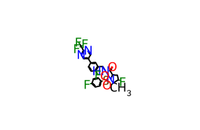 CC1C(F)CC(C(=O)NCc2cc(-c3cnc(C(F)(F)F)nc3)ccc2F)N1S(=O)(=O)c1ccc(F)cc1